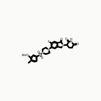 COc1cc(S(=O)(=O)N2CCN(c3cc4c(cc3F)C(=O)N(C3CCC(=O)NC3=O)C4)CC2)ccc1C